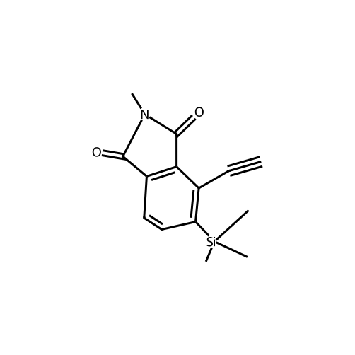 C#Cc1c([Si](C)(C)C)ccc2c1C(=O)N(C)C2=O